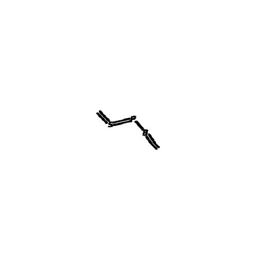 C=BP=S=C